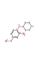 BrCc1ccc(OC2CCCCC2)c(Br)c1